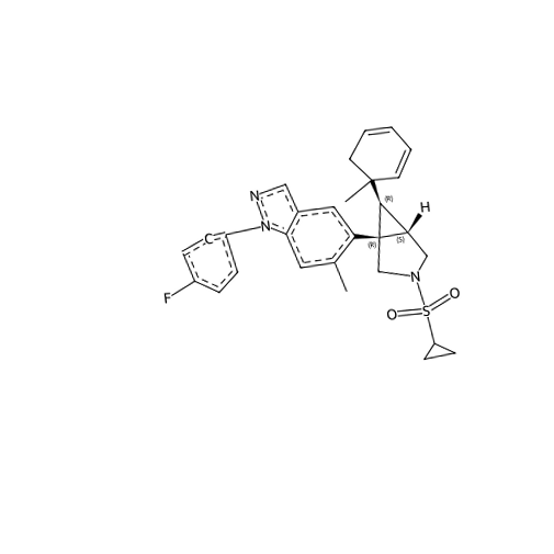 Cc1cc2c(cnn2-c2ccc(F)cc2)cc1[C@]12CN(S(=O)(=O)C3CC3)C[C@H]1[C@@H]2C1(C)C=CC=CC1